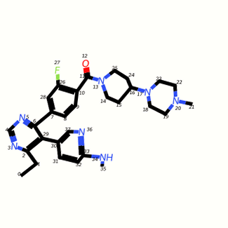 CCc1ncnc(-c2ccc(C(=O)N3CCC(N4CCN(C)CC4)CC3)c(F)c2)c1-c1ccc(NC)nc1